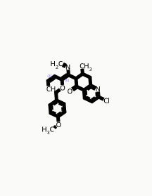 C=N/C(=C(\C=C/C)OCc1ccc(OC)cc1)C1C(=O)c2ccc(Cl)nc2CC1C